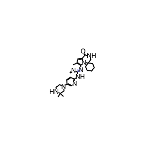 C=N/C(=N\c1c(C)cc2n1C1(CCCCC1)CNC2=O)Nc1ccc(N2CCNC(C)(C)C2)cn1